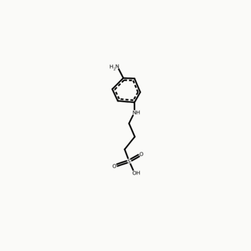 Nc1ccc(NCCCS(=O)(=O)O)cc1